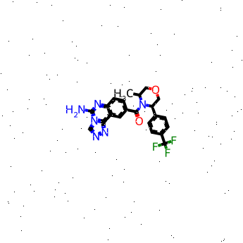 CC1COCC(c2ccc(C(F)(F)F)cc2)N1C(=O)c1ccc2nc(N)n3cnnc3c2c1